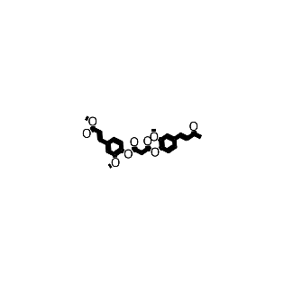 COC(=O)/C=C/c1ccc(OC(=O)CC(=O)Oc2ccc(/C=C/C(C)=O)cc2OC)c(OC)c1